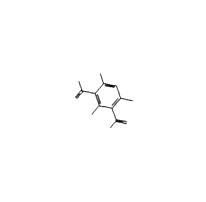 NC(=O)c1c(I)cc(I)c(C(=O)O)c1I